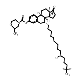 C[C@]12CC[C@@H]3c4ccc(OC(=O)N5CCOC(C(F)(F)F)C5)cc4C[C@@H](CCCCCCCCC[S+]([O-])CCCC(F)(F)C(F)(F)F)[C@H]3[C@@H]1CCC2=O